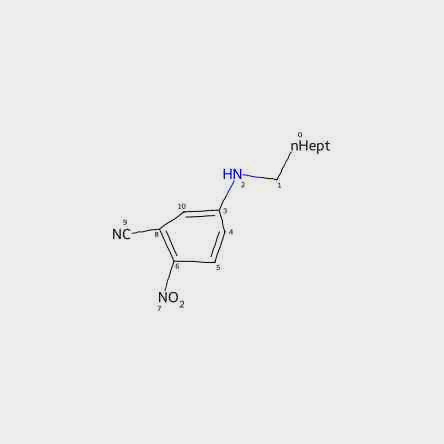 CCCCCCCCNc1ccc([N+](=O)[O-])c(C#N)c1